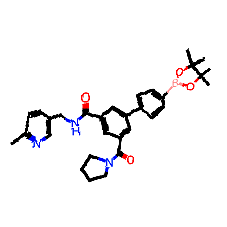 Cc1ccc(CNC(=O)c2cc(C(=O)N3CCCC3)cc(-c3ccc(B4OC(C)(C)C(C)(C)O4)cc3)c2)cn1